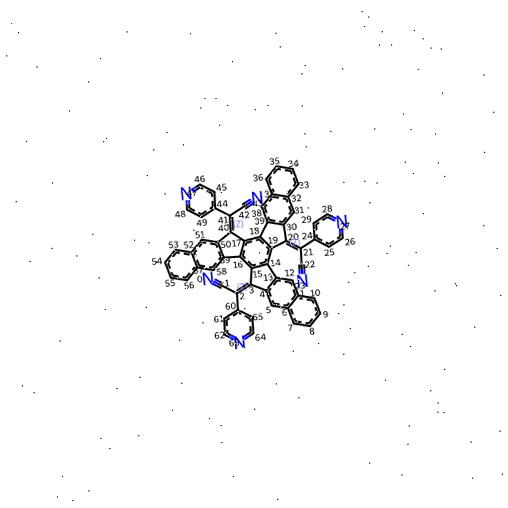 N#C/C(=C1/c2cc3ccccc3cc2-c2c1c1c(c3c2/C(=C(\C#N)c2ccncc2)c2cc4ccccc4cc2-3)/C(=C(\C#N)c2ccncc2)c2cc3ccccc3cc2-1)c1ccncc1